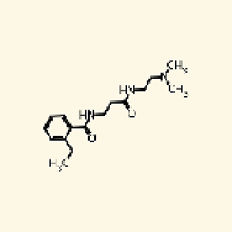 CCc1ccccc1C(=O)NCCC(=O)NCCN(C)C